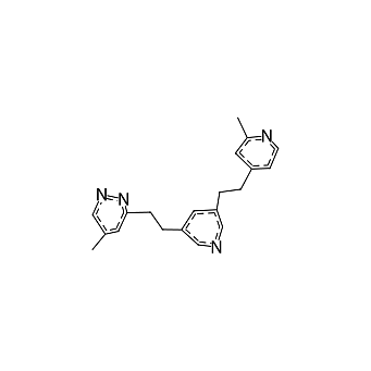 Cc1cnnc(CCc2cncc(CCc3ccnc(C)c3)c2)c1